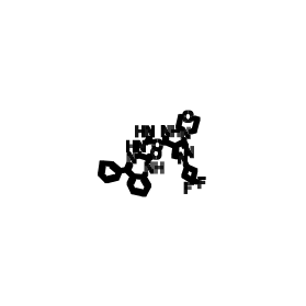 N=C(N[C@H]1N=C(c2ccccc2)c2ccccc2NC1=O)OC(=N)c1cn(C2CC(F)(F)C2)nc1N1CCOCC1